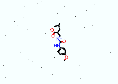 COC(=O)C(CNC(=O)Nc1ccc(OC)cc1)CC(C)C